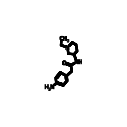 CCN1CCCC(NC(=O)Cc2ccc(N)cc2)C1